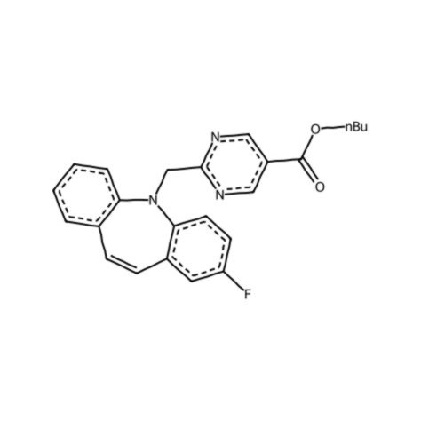 CCCCOC(=O)c1cnc(CN2c3ccccc3C=Cc3cc(F)ccc32)nc1